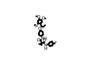 C=Nc1cc(OC)c(OC)cc1/C(=C\C)Oc1ccc(NC(=O)C2(C(=O)Nc3ccc(F)cc3)CC2)cc1